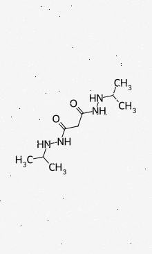 CC(C)NNC(=O)CC(=O)NNC(C)C